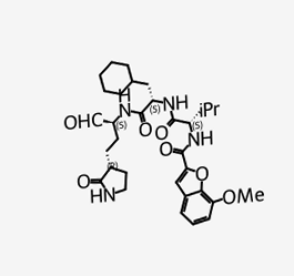 COc1cccc2cc(C(=O)N[C@H](C(=O)N[C@@H](CC3CCCCC3)C(=O)N[C@H](C=O)CC[C@@H]3CCNC3=O)C(C)C)oc12